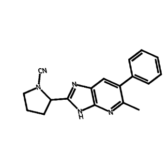 Cc1nc2[nH]c(C3CCCN3C#N)nc2cc1-c1ccccc1